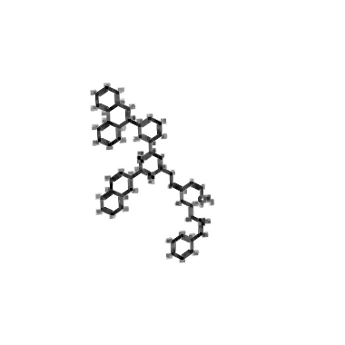 C/C=C\C(=C/Cc1cc(-c2cccc(-c3cc4ccccc4c4ccccc34)c2)nc(-c2ccc3ccccc3c2)n1)C/C=C/N=C\c1ccccc1